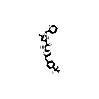 Cc1cc(C(=O)Nc2ncc(Cc3ccc(C(F)(F)F)cc3)s2)nn1Cc1ccccn1